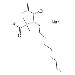 C=C(C)C(=O)C(CCCCCCCCC)C(C)(C)C(=O)[O-].[Na+]